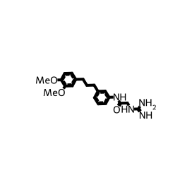 COc1ccc(CCCc2cccc(NC(=O)CNC(=N)N)c2)cc1OC